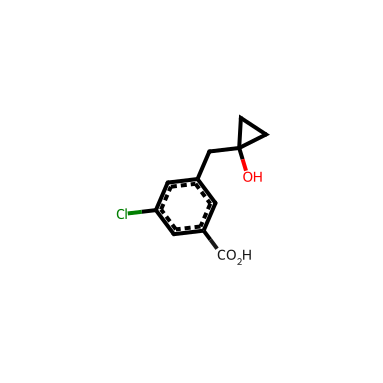 O=C(O)c1cc(Cl)cc(CC2(O)CC2)c1